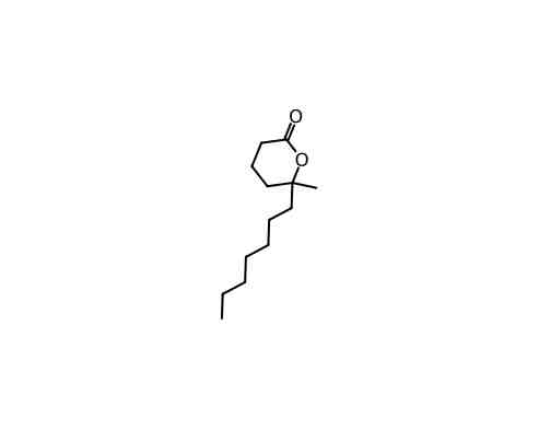 CCCCCCCC1(C)CCCC(=O)O1